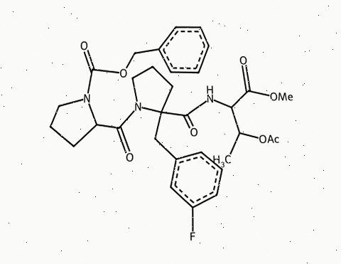 COC(=O)C(NC(=O)C1(Cc2cccc(F)c2)CCCN1C(=O)C1CCCN1C(=O)OCc1ccccc1)C(C)OC(C)=O